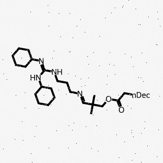 CCCCCCCCCCCC(=O)OCC(C)(C)C=NCCCNC(=NC1CCCCC1)NC1CCCCC1